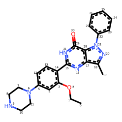 CCOc1cc(N2CCNCC2)ccc1-c1nc2c(C)nn(-c3ccccc3)c2c(=O)[nH]1